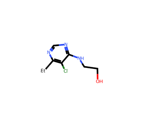 CCc1ncnc(NCCO)c1Cl